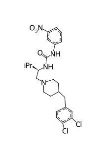 CC(C)[C@H](CN1CCC(Cc2ccc(Cl)c(Cl)c2)CC1)NC(=O)Nc1cccc([N+](=O)[O-])c1